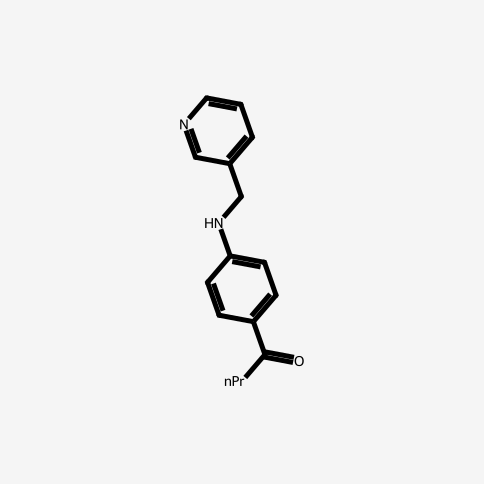 CCCC(=O)c1ccc(NCc2cccnc2)cc1